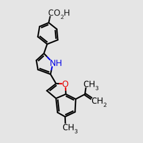 C=C(C)c1cc(C)cc2cc(-c3ccc(-c4ccc(C(=O)O)cc4)[nH]3)oc12